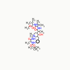 COC(=O)[C@@H](NC(=O)[C@H](NC(=O)C(C)C1CCN([C@H](C)NC(=O)[C@H](C)NC(=O)OC(C)(C)C)CC(Cc2ccccc2)C1O)C(C)C)C(C)C